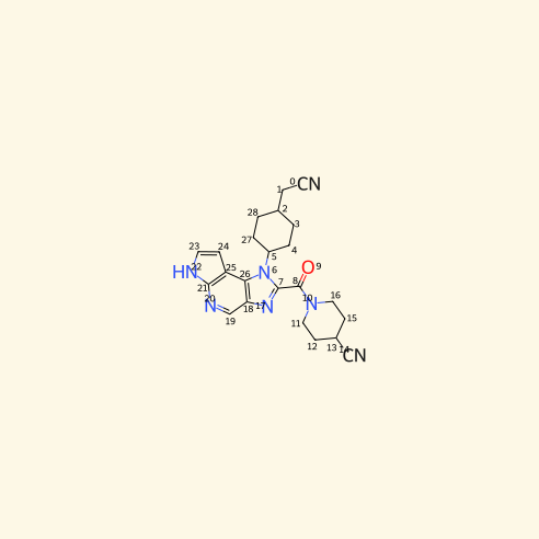 N#CCC1CCC(n2c(C(=O)N3CCC(C#N)CC3)nc3cnc4[nH]ccc4c32)CC1